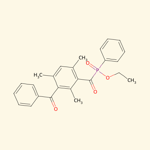 CCOP(=O)(C(=O)c1c(C)cc(C)c(C(=O)c2ccccc2)c1C)c1ccccc1